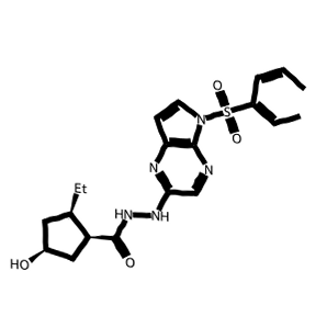 C/C=C\C(=C/C)S(=O)(=O)n1ccc2nc(NNC(=O)[C@H]3C[C@@H](O)C[C@H]3CC)cnc21